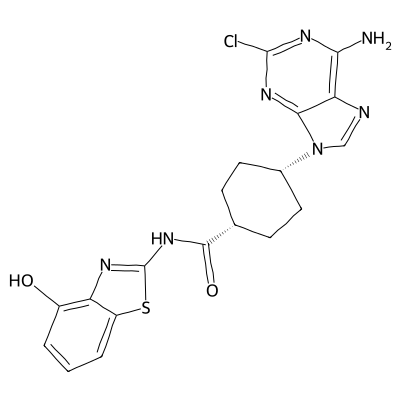 Nc1nc(Cl)nc2c1ncn2[C@H]1CC[C@@H](C(=O)Nc2nc3c(O)cccc3s2)CC1